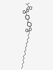 CCCCCCCCCCCCCCCCCCC(=O)Oc1ccc(-c2ccc(C(=O)OCC(Cl)C(C)C)cc2)cc1